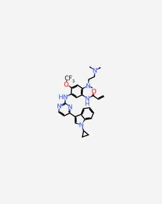 C=CC(=O)Nc1cc(Nc2nccc(-c3cn(C4CC4)c4ccccc34)n2)c(OC(F)(F)F)cc1N(C)CCN(C)C